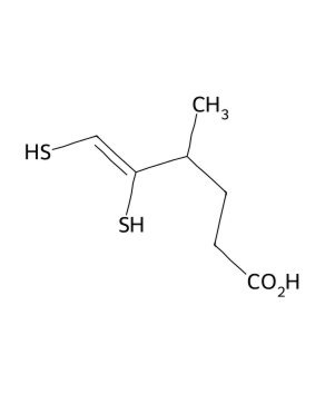 CC(CCC(=O)O)C(S)=CS